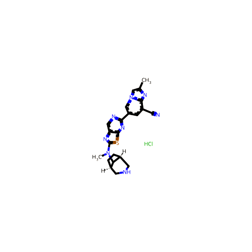 Cc1cn2cc(-c3ncc4nc(N(C)C5[C@@H]6CC[C@H]5CNC6)sc4n3)cc(C#N)c2n1.Cl